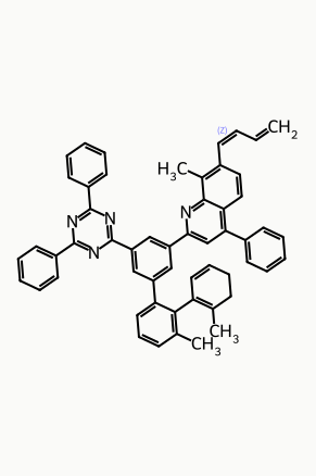 C=C/C=C\c1ccc2c(-c3ccccc3)cc(-c3cc(-c4nc(-c5ccccc5)nc(-c5ccccc5)n4)cc(-c4cccc(C)c4C4=C(C)CCC=C4)c3)nc2c1C